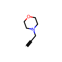 [C]#CCN1CCOCC1